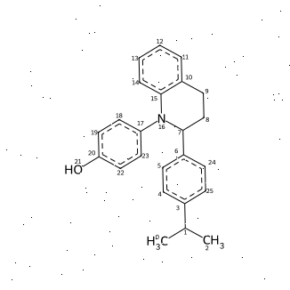 CC(C)c1ccc(C2CCc3ccccc3N2c2ccc(O)cc2)cc1